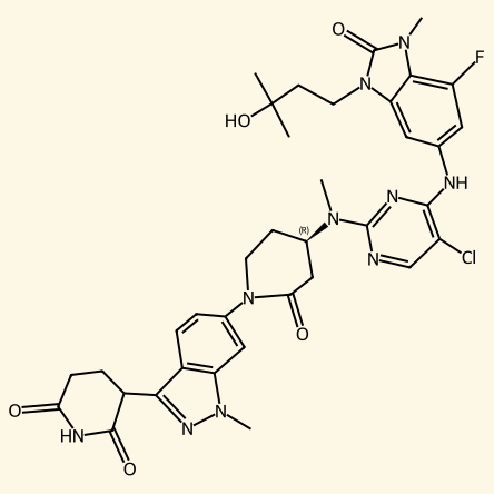 CN(c1ncc(Cl)c(Nc2cc(F)c3c(c2)n(CCC(C)(C)O)c(=O)n3C)n1)[C@@H]1CCN(c2ccc3c(C4CCC(=O)NC4=O)nn(C)c3c2)C(=O)C1